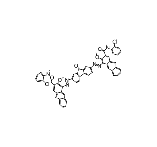 COc1c(CON(C)c2ccccc2Cl)cc2cc3ccccc3cc2c1N=Nc1ccc2c(c1)C(=O)c1cc(N=Nc3c(OC)c(C(=O)N(C)c4ccccc4Cl)cc4cc5ccccc5cc34)ccc1-2